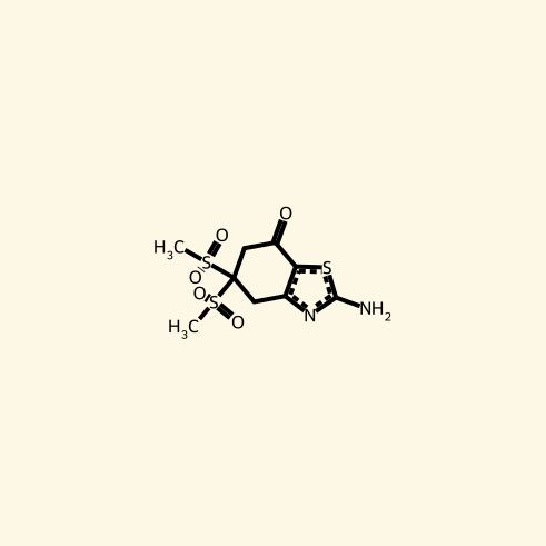 CS(=O)(=O)C1(S(C)(=O)=O)CC(=O)c2sc(N)nc2C1